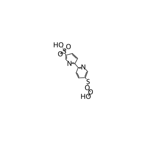 O=S(=O)(O)c1ccc(-c2ccc(SOOO)cn2)nc1